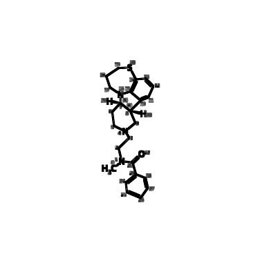 CN(CCN1CC[C@H]2[C@@H](C1)c1cccc3c1N2CCCS3)C(=O)c1ccccc1